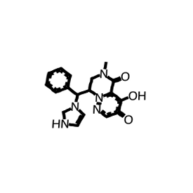 CN1CC(C(c2ccccc2)N2C=CNC2)n2ncc(=O)c(O)c2C1=O